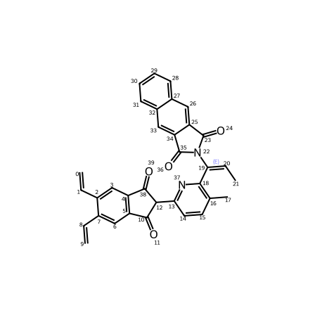 C=Cc1cc2c(cc1C=C)C(=O)C(c1ccc(C)c(/C(=C\C)N3C(=O)c4cc5ccccc5cc4C3=O)n1)C2=O